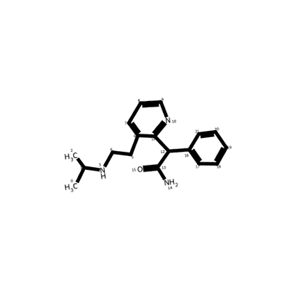 CC(C)NCCc1cccnc1C(C(N)=O)c1ccccc1